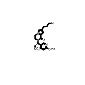 COc1ccc([C@H](CC(=O)O)N2CCn3cc(CCCC(C)=O)cc3C2=O)cn1